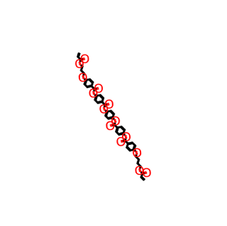 C=CC(=O)OCCCCOc1ccc(C(=O)Oc2ccc(C(=O)Oc3ccc(OC(=O)c4ccc(OC(=O)c5ccc(OCCCOC(=O)C=C)cc5)cc4)cc3)cc2)cc1